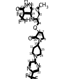 COC[C@@H](CO[C@@H]1CCN(C2CCN(c3cnc(C(F)(F)F)cn3)CC2)C1=O)Nc1cn[nH]c(=O)c1C(F)(F)F